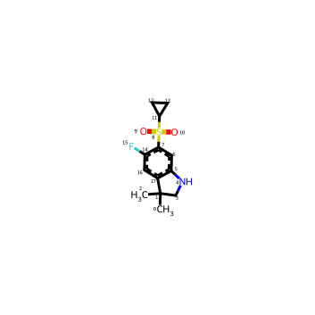 CC1(C)CNc2cc(S(=O)(=O)C3CC3)c(F)cc21